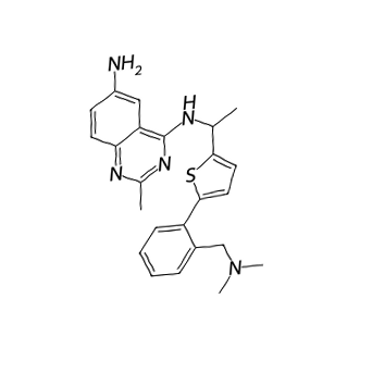 Cc1nc(NC(C)c2ccc(-c3ccccc3CN(C)C)s2)c2cc(N)ccc2n1